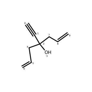 C#CC(O)(CC=C)CC=C